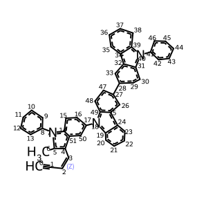 C#C/C=C\c1c(C)n(-c2ccccc2)c2ccc(-n3c4ccccc4c4cc(-c5ccc6c(c5)c5ccccc5n6-c5ccccc5)ccc43)cc12